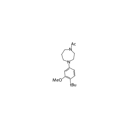 COc1cc(N2CCCN(C(C)=O)CC2)ccc1C(C)(C)C